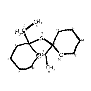 C[SiH2]C1(SC2([SiH2]C)CCCCO2)CCCCO1